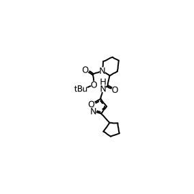 CC(C)(C)OC(=O)N1CCCCC1C(=O)Nc1cc(C2CCCC2)no1